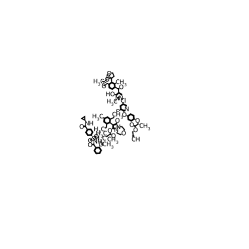 C#CCOC(=O)[C@@H](C)Oc1ccc(Oc2ncc(Cl)cc2F)cc1.CCc1cc(C)cc(CC)c1-c1c(OC(=O)C(C)(C)C)n2n(c1=O)CCOCC2.COc1ccccc1C(=O)NS(=O)(=O)c1ccc(C(=O)NC2CC2)cc1.Cc1c(C(=O)c2cnn(C)c2O)ccc(S(C)(=O)=O)c1C1=NOCC1